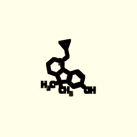 CC1(C)c2cc(O)ccc2C2C1CCCN2CC1CC1